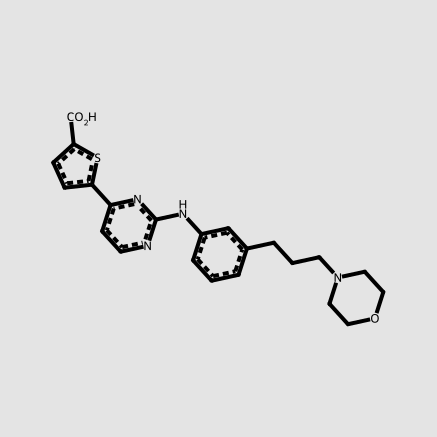 O=C(O)c1ccc(-c2ccnc(Nc3cccc(CCCN4CCOCC4)c3)n2)s1